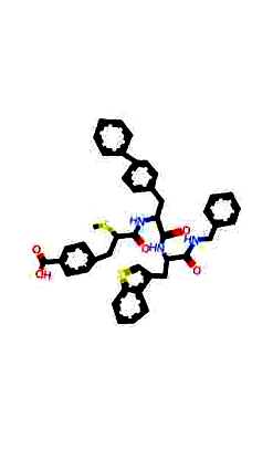 CSC(Cc1ccc(C(=O)O)cc1)C(=O)NC(Cc1ccc(-c2ccccc2)cc1)C(=O)NC(Cc1csc2ccccc12)C(=O)NCc1ccccc1